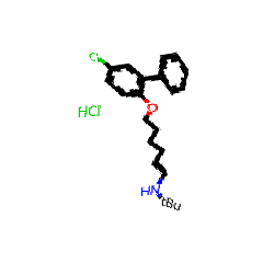 CC(C)(C)NCCCCCCOc1ccc(Cl)cc1-c1ccccc1.Cl